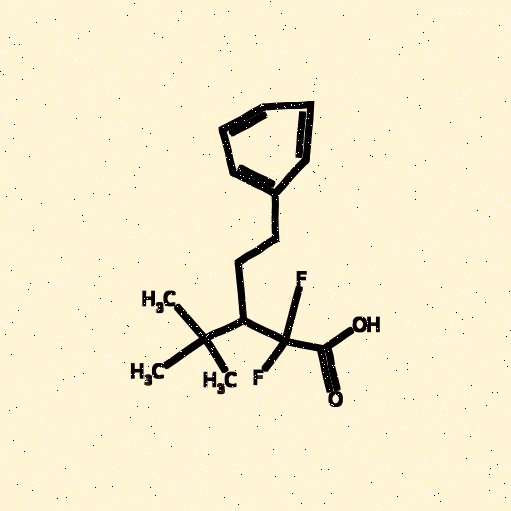 CC(C)(C)C(CCc1ccccc1)C(F)(F)C(=O)O